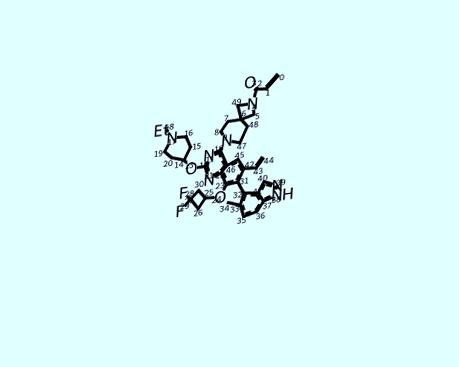 C=CC(=O)N1CC2(CCN(c3nc(OC4CCN(CC)CC4)nc4c(OC5CC(F)(F)C5)c(-c5c(C)ccc6[nH]ncc56)c(C=C)cc34)CC2)C1